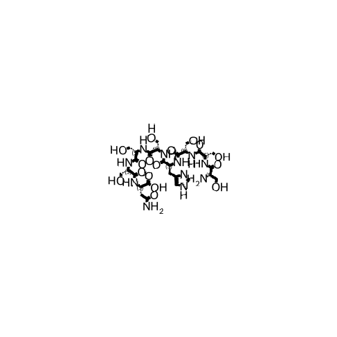 NC(=O)C[C@H](NC(=O)[C@H](CO)NC(=O)[C@H](CO)NC(=O)[C@H](CO)NC(=O)[C@H](Cc1c[nH]cn1)NC(=O)[C@H](CO)NC(=O)[C@H](CO)NC(=O)[C@@H](N)CO)C(=O)O